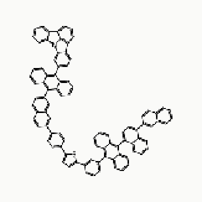 c1cc(-c2ccc(-c3ccc(-c4ccc5ccc(-c6c7ccccc7c(-c7ccc8c9cccc%10c%11ccccc%11n(c8c7)c%109)c7ccccc67)cc5c4)cc3)s2)cc(-c2c3ccccc3c(-c3ccc(-c4ccc5ccccc5c4)c4ccccc34)c3ccccc23)c1